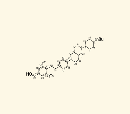 CCCCC1CCC(C2CCC3CC(c4ccc(CCc5c(C)cc(CO)cc5F)cc4)CCC3C2)CC1